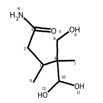 CC(CC(N)=O)C(C)(CO)C(O)O